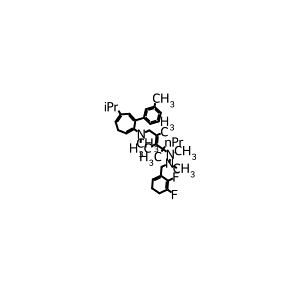 CCCC(C)(/C(C)=C(\C)CN(C)C1=CCC=C(C(C)C)C=C1c1cccc(C)c1)N(C)N(C)CC1=CCCC(F)=C1F